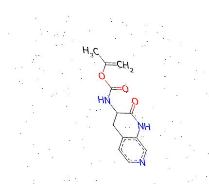 C=C(C)OC(=O)NC1Cc2ccncc2NC1=O